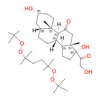 CC(C)(C)OOC(C)(C)CCC(C)(C)OOC(C)(C)C.C[C@]12CC[C@@H](O)C[C@H]1CC[C@@H]1[C@@H]2C(=O)C[C@@]2(C)[C@H]1CC[C@]2(O)C(=O)CO